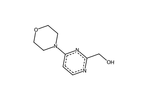 OCc1nccc(N2CCOCC2)n1